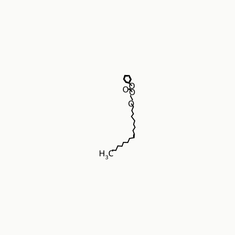 CCCCCCCC/C=C\CCCCCCCCOCCOC(=O)Oc1ccccc1